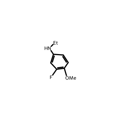 CCNc1ccc(OC)c(F)c1